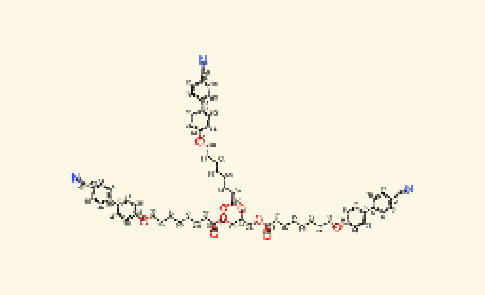 N#Cc1ccc(-c2ccc(OCCCCCCCC(=O)OCC(COC(=O)CCCCCCCOc3ccc(-c4ccc(C#N)cc4)cc3)OC(=O)CCCCCCCOc3ccc(-c4ccc(C#N)cc4)cc3)cc2)cc1